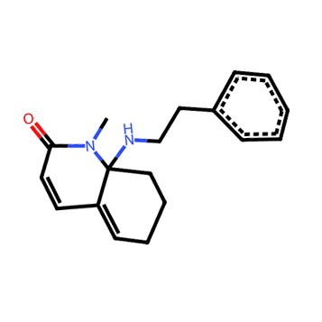 CN1C(=O)C=CC2=CCCCC21NCCc1ccccc1